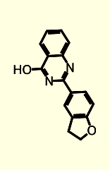 Oc1nc(-c2ccc3c(c2)CCO3)nc2ccccc12